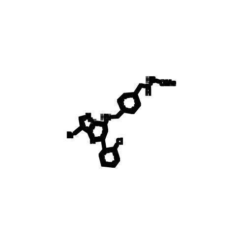 COBNCc1ccc(CNc2cc(-c3ccccc3Cl)nc3c(Br)cnn23)cc1